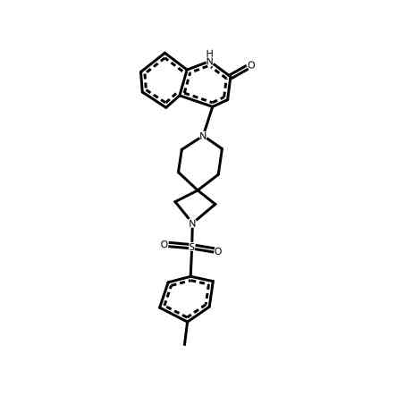 Cc1ccc(S(=O)(=O)N2CC3(CCN(c4cc(=O)[nH]c5ccccc45)CC3)C2)cc1